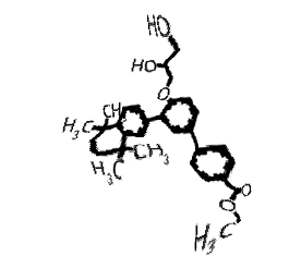 CCOC(=O)c1ccc(-c2ccc(OCC(O)CO)c(-c3ccc4c(c3)C(C)(C)CCC4(C)C)c2)cc1